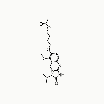 COc1c(OCCCCOC(C)=O)ccc2c1CN1C(=N2)NC(=O)C1C(C)C